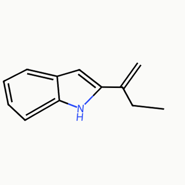 C=C(CC)c1cc2ccccc2[nH]1